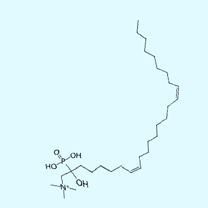 CCCCCCCC/C=C\CCCCCCC/C=C\CCCCCC(O)(C[N+](C)(C)C)P(=O)(O)O